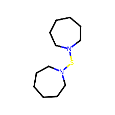 C1CCCN(SN2CCCCCC2)CC1